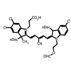 CCCCCCCCCCC1\C(=C/C=C(C#N)/C=C/C2=[N+](CCC(=O)O)c3cc(Cl)c(Cl)cc3C2(C)CCCCCCCCCC)N(CCOC=O)c2ccc(Cl)cc21